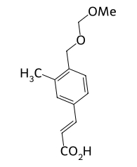 COCOCc1ccc(C=CC(=O)O)cc1C